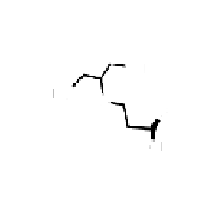 CCC(CC)OCCC(=O)O